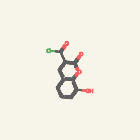 O=C(Cl)c1cc2cccc(O)c2oc1=O